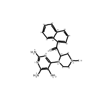 Nc1nc(N)c(N)c(N2CCN(I)CC2C(=O)c2cccc3ccccc23)n1